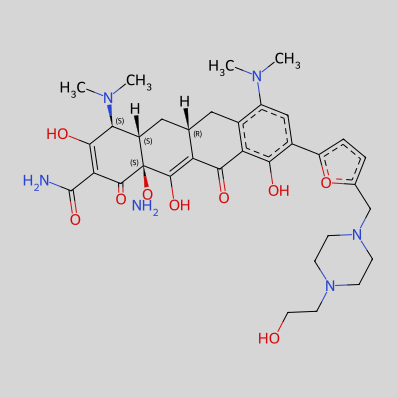 CN(C)c1cc(-c2ccc(CN3CCN(CCO)CC3)o2)c(O)c2c1C[C@H]1C[C@H]3[C@H](N(C)C)C(O)=C(C(N)=O)C(=O)[C@@]3(ON)C(O)=C1C2=O